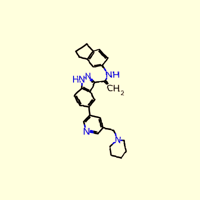 C=C(Nc1ccc2c(c1)CCC2)c1n[nH]c2ccc(-c3cncc(CN4CCCCC4)c3)cc12